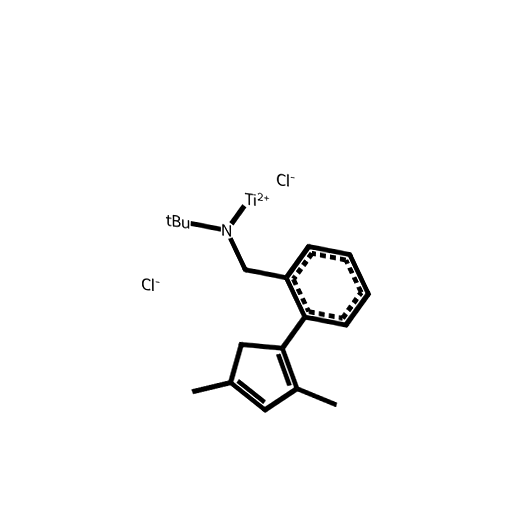 CC1=CC(C)=C(c2ccccc2C[N]([Ti+2])C(C)(C)C)C1.[Cl-].[Cl-]